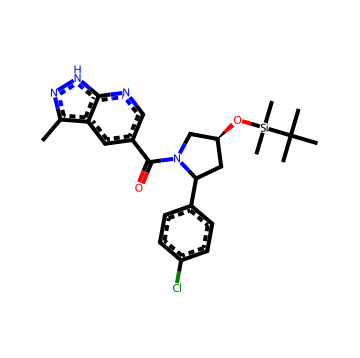 Cc1n[nH]c2ncc(C(=O)N3C[C@@H](O[Si](C)(C)C(C)(C)C)CC3c3ccc(Cl)cc3)cc12